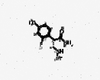 Bc1ccc([C@@H](CNC(C)C)C(N)=O)c(F)c1